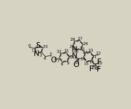 Cc1nc(CCOc2ccc(NC(=O)c3cc(C(F)(F)F)c(C)cc3-c3ccccc3)cc2)cs1